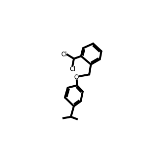 CC(C)c1ccc(OCc2ccccc2C(Cl)Cl)cc1